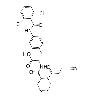 N#CCCC(=O)N1CCSC[C@H]1C(=O)N[C@@H](Cc1ccc(NC(=O)c2c(Cl)cccc2Cl)cc1)C(=O)O